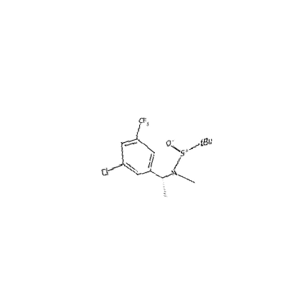 C[C@H](c1cc(Cl)cc(C(F)(F)F)c1)N(C)[S+]([O-])C(C)(C)C